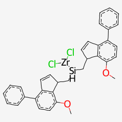 COc1ccc(-c2ccccc2)c2c1C(C[SiH](CC1C=Cc3c(-c4ccccc4)ccc(OC)c31)[Zr]([Cl])[Cl])C=C2